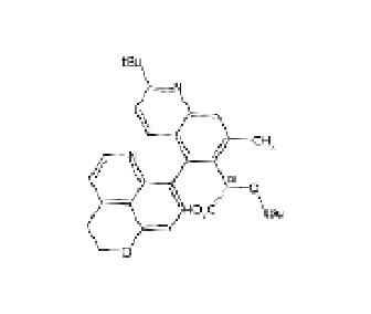 Cc1cc2nc(C(C)(C)C)ccc2c(-c2ccc3c4c(ccnc24)CCO3)c1[C@H](OC(C)(C)C)C(=O)O